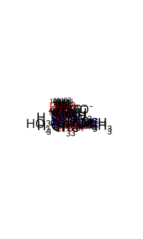 CC1(C)S[C@@H]2[C@H](NC(=O)[C@H](N)c3ccc(O)cc3)C(=O)N2[C@H]1C(=O)O.Cc1cc(/C=C/c2ccc3cc(N(C)C)ccc3[n+]2C)c(C)n1-c1ccccc1.Cc1cc(/C=C/c2ccc3cc(N(C)C)ccc3[n+]2C)c(C)n1-c1ccccc1.O=C([O-])c1cc2ccccc2c(Cc2c(O)c(C(=O)[O-])cc3ccccc23)c1O